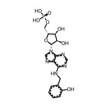 O=P(O)(O)OC[C@H]1O[C@@H](n2cnc3c(NCc4ccccc4O)ncnc32)[C@H](O)[C@@H]1O